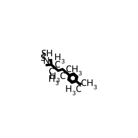 CC(C)c1ccc(C(C)(C)CCC(C)(C)C2CN(SS)C2)cc1